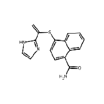 C=C(Sc1ccc(C(N)=O)c2ccccc12)c1ncc[nH]1